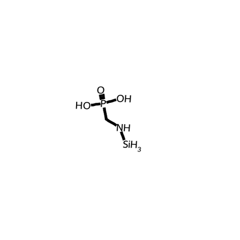 O=P(O)(O)CN[SiH3]